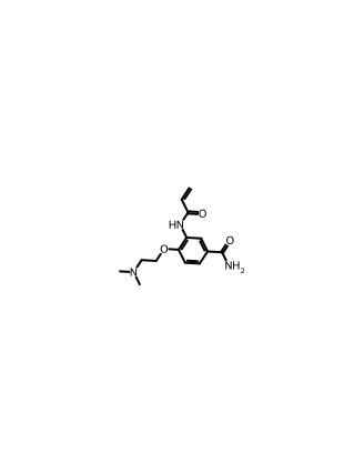 C=CC(=O)Nc1cc(C(N)=O)ccc1OCCN(C)C